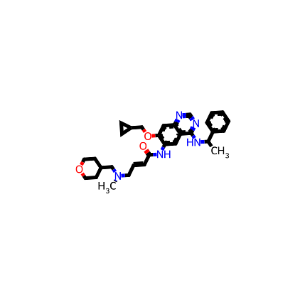 CC(Nc1ncnc2cc(OCC3CC3)c(NC(=O)C=CCN(C)CC3CCOCC3)cc12)c1ccccc1